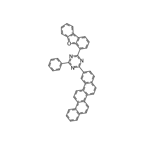 c1ccc(-c2nc(-c3ccc4ccc5c(ccc6c7ccccc7ccc65)c4c3)nc(-c3cccc4c3oc3ccccc34)n2)cc1